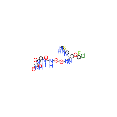 O=C1CCC(N2Cc3c(NC(=O)CCNCCOCCOCCn4cc([C@]5(Cc6cccc(Nc7nccs7)n6)CC[C@@H](Oc6cccc(Cl)c6F)CC5)nn4)cccc3C2=O)C(=O)N1